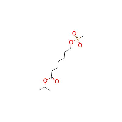 CC(C)OC(=O)CCCCCCOS(C)(=O)=O